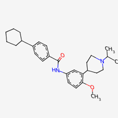 COc1ccc(NC(=O)c2ccc(C3CCCCC3)cc2)cc1C1CCN(C(C)C)CC1